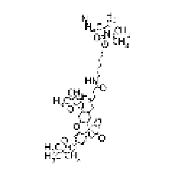 CC(C)N(C(C)C)P(OCCC#N)OCCCCCCNC(=O)CCCCc1cc2c(cc1OC(=O)C(C)(C)C)Oc1cc(OC(=O)C(C)(C)C)ccc1C21OC(=O)c2ccccc21